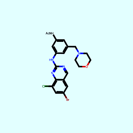 CC(=O)Nc1cc(CN2CCOCC2)cc(Nc2ncc3cc(Br)cc(Cl)c3n2)c1